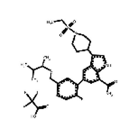 CCS(=O)(=O)N1CCC(c2c[nH]c3c(C(N)=O)cc(-c4cc(CN[C@H](C)C(C)C)ccc4F)cc23)CC1.O=C(O)C(F)(F)F